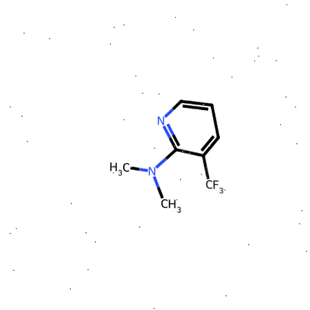 CN(C)c1ncccc1C(F)(F)F